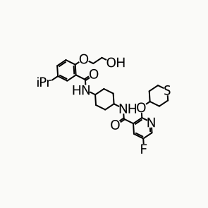 CC(C)c1ccc(OCCO)c(C(=O)NC2CCC(NC(=O)c3cc(F)cnc3OC3CCSCC3)CC2)c1